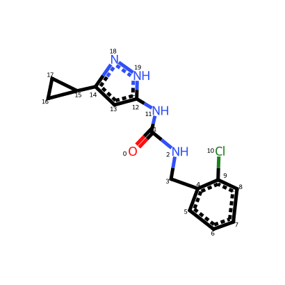 O=C(NCc1ccccc1Cl)Nc1cc(C2CC2)n[nH]1